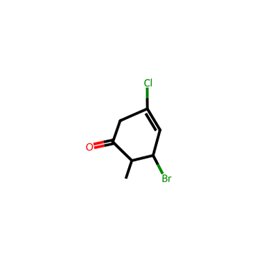 CC1C(=O)CC(Cl)=CC1Br